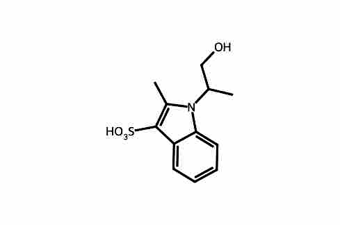 Cc1c(S(=O)(=O)O)c2ccccc2n1C(C)CO